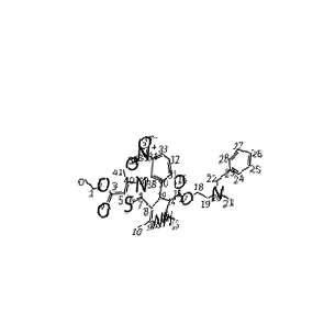 CCOC(=O)c1sc(C2=C(C)NC(C)=C(C(=O)OCCN(C)Cc3ccccc3)C2c2cccc([N+](=O)[O-])c2)nc1C